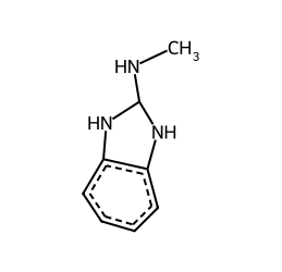 CNC1Nc2ccccc2N1